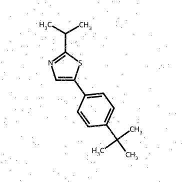 CC(C)c1ncc(-c2ccc(C(C)(C)C)cc2)s1